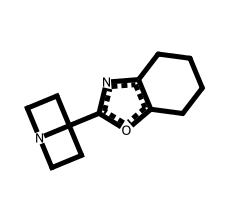 C1CCc2oc(C34CCN3CC4)nc2C1